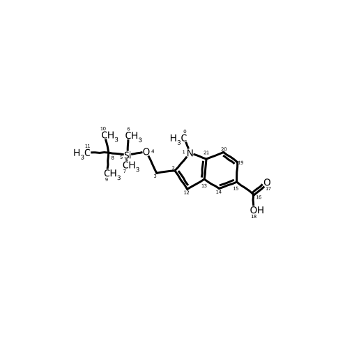 Cn1c(CO[Si](C)(C)C(C)(C)C)cc2cc(C(=O)O)ccc21